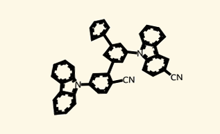 N#Cc1ccc2c(c1)c1ccccc1n2-c1cc(-c2ccccc2)cc(-c2cc(-n3c4ccccc4c4ccccc43)ccc2C#N)c1